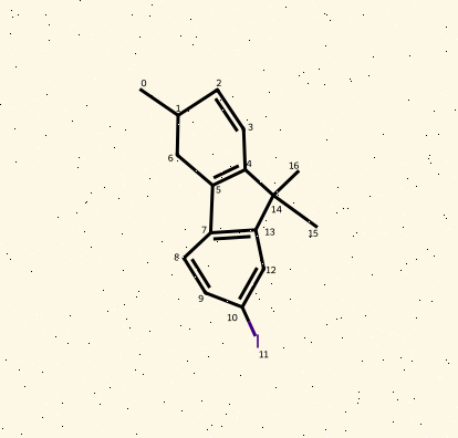 CC1C=CC2=C(C1)c1ccc(I)cc1C2(C)C